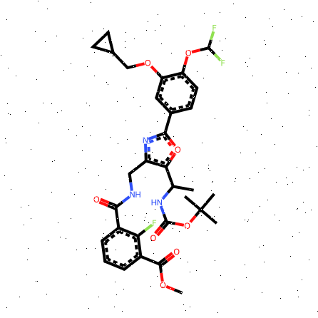 COC(=O)c1cccc(C(=O)NCc2nc(-c3ccc(OC(F)F)c(OCC4CC4)c3)oc2C(C)NC(=O)OC(C)(C)C)c1F